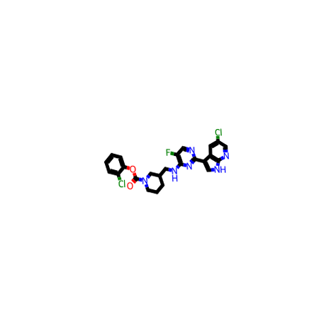 O=C(Oc1ccccc1Cl)N1CCCC(CNc2nc(-c3c[nH]c4ncc(Cl)cc34)ncc2F)C1